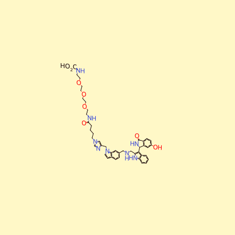 O=C(O)NCCOCCOCCOCCNC(=O)CCCCn1cnc(Cn2ccc3ccc(CNCc4[nH]c5ccccc5c4C4NC(=O)c5ccc(O)cc54)cc32)c1